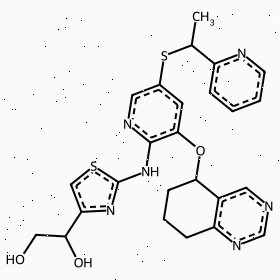 CC(Sc1cnc(Nc2nc(C(O)CO)cs2)c(OC2CCCc3ncncc32)c1)c1ccccn1